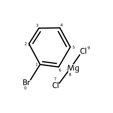 Brc1[c]cccc1.[Cl][Mg][Cl]